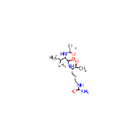 CC(=O)NC(C(=O)NC(CCCNC(N)=O)C(C)=O)C(C)C